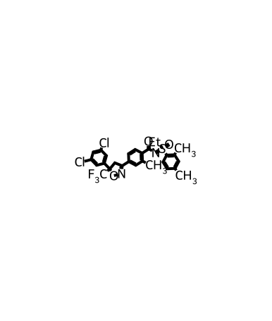 CCS(=O)(=NC(=O)c1ccc(C2=NOC(c3cc(Cl)cc(Cl)c3)(C(F)(F)F)C2)cc1C)c1ccc(C)cc1C